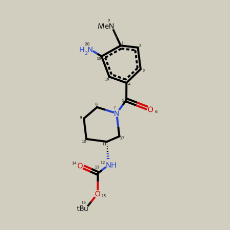 CNc1ccc(C(=O)N2CCC[C@@H](NC(=O)OC(C)(C)C)C2)cc1N